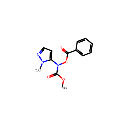 CC(C)(C)OC(=O)N(OC(=O)c1ccccc1)c1ccnn1C(C)(C)C